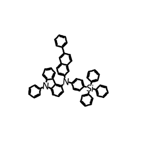 c1ccc(-c2ccc3cc(N(c4ccc([Si](c5ccccc5)(c5ccccc5)c5ccccc5)cc4)c4cccc5c4c4ccccc4n5-c4ccccc4)ccc3c2)cc1